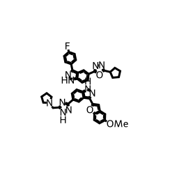 COc1ccc2oc(-c3n[nH]c4ccc(-c5n[nH]c(CN6CCCC6)n5)cc34)cc2c1.Fc1ccc(-c2n[nH]c3ccc(-c4nnc(C5CCCC5)o4)cc23)cc1